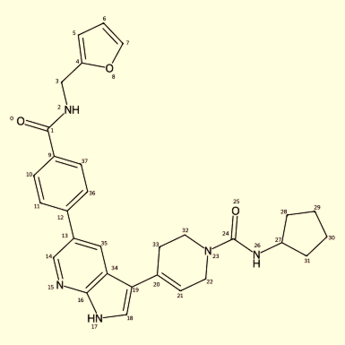 O=C(NCc1ccco1)c1ccc(-c2cnc3[nH]cc(C4=CCN(C(=O)NC5CCCC5)CC4)c3c2)cc1